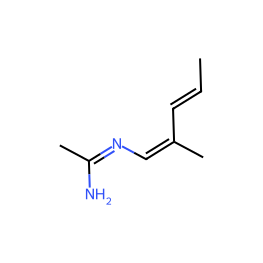 C/C=C/C(C)=C\N=C(\C)N